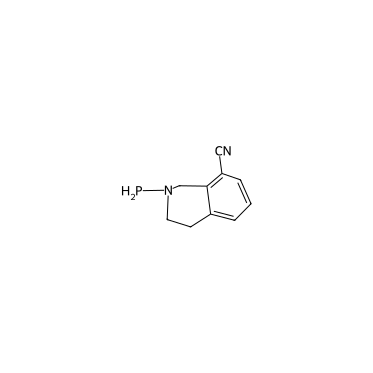 N#Cc1cccc2c1CN(P)CC2